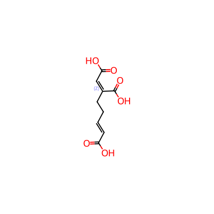 O=C(O)C=CCC/C(=C/C(=O)O)C(=O)O